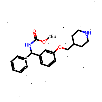 CC(C)(C)OC(=O)NC(c1ccccc1)c1cccc(OCC2CCNCC2)c1